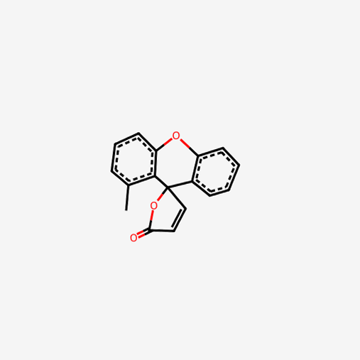 Cc1cccc2c1C1(C=CC(=O)O1)c1ccccc1O2